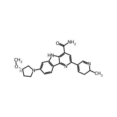 CO[C@H]1CCN(c2ccc3c(c2)[nH]c2c(C(N)=O)cc(C4=CCC(C)N=C4)nc23)C1